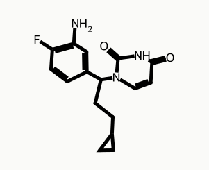 Nc1cc(C(CCC2CC2)n2ccc(=O)[nH]c2=O)ccc1F